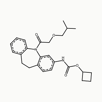 CC(C)COCC(=O)N1c2ccccc2CCc2ccc(NC(=O)OC3CCC3)cc21